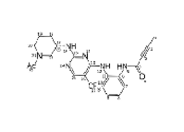 CC#CC(=O)Nc1ccccc1Nc1nc(N[C@H]2CCCN(C(C)=O)C2)ncc1C(F)(F)F